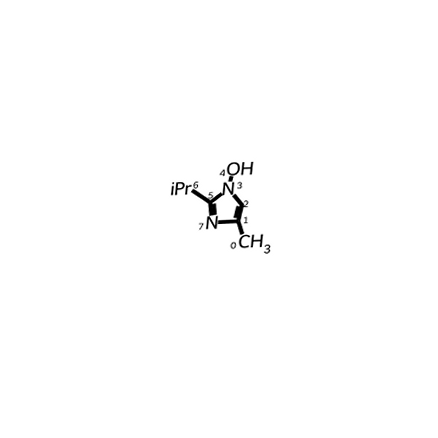 Cc1cn(O)c(C(C)C)n1